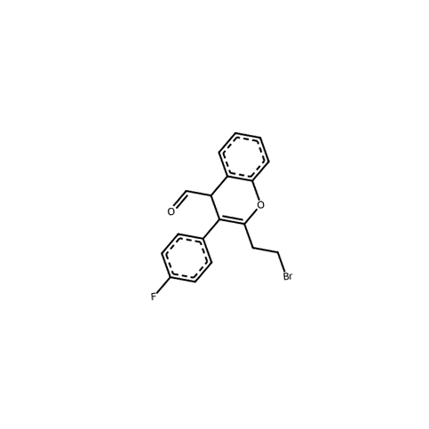 O=CC1C(c2ccc(F)cc2)=C(CCBr)Oc2ccccc21